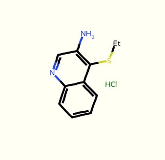 CCSc1c(N)cnc2ccccc12.Cl